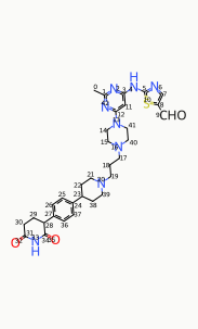 Cc1nc(Nc2ncc(C=O)s2)cc(N2CCN(CCCN3CCC(c4ccc(C5CCC(=O)NC5=O)cc4)CC3)CC2)n1